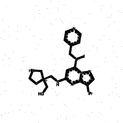 CC(C)c1cnn2c(N(I)Cc3ccncc3)cc(NC[C@@]3(CO)CCNC3)nc12